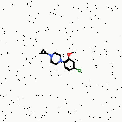 COc1cc(Cl)[c]cc1N1CCN(C2CC2)CC1